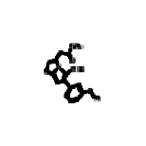 COC(=O)Cc1csc2cc(-c3cccc(OC(C)C)c3)c(C=O)n12